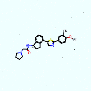 CC(C)Oc1ccc(-c2ncc(-c3cccc4c3CC[C@H]4NC(=O)CN3CCCC3)s2)cc1C#N